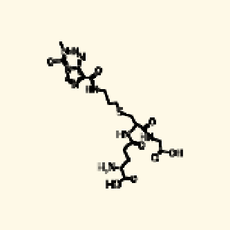 Cn1nnc2c(C(=O)NCCCSCC(NC(=O)CC[C@H](N)C(=O)O)C(=O)NCC(=O)O)ncn2c1=O